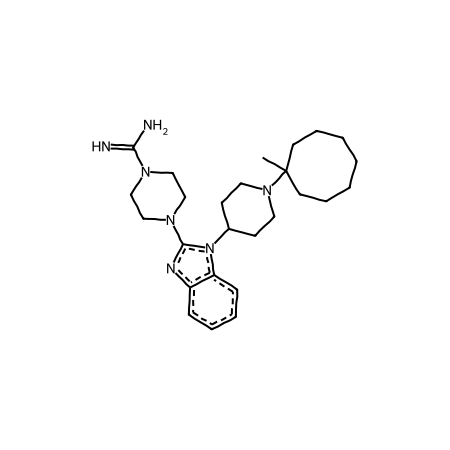 CC1(N2CCC(n3c(N4CCN(C(=N)N)CC4)nc4ccccc43)CC2)CCCCCCC1